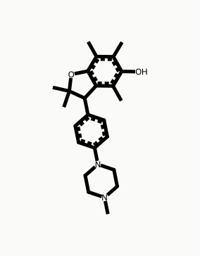 Cc1c(C)c2c(c(C)c1O)C(c1ccc(N3CCN(C)CC3)cc1)C(C)(C)O2